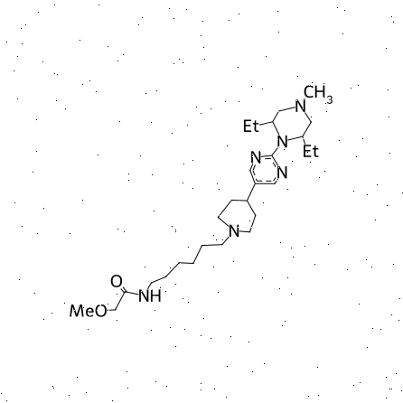 CCC1CN(C)CC(CC)N1c1ncc(C2CCN(CCCCCCNC(=O)COC)CC2)cn1